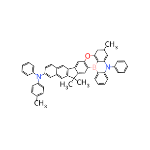 Cc1ccc(N(c2ccccc2)c2ccc3cc4c(cc3c2)C(C)(C)c2cc3c(cc2-4)Oc2cc(C)cc4c2B3c2ccccc2N4c2ccccc2)cc1